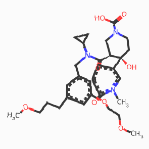 COCCCc1cc(CN(C(=O)[C@H]2CN(C(=O)O)CC[C@]2(O)c2ccc(=O)n(C)c2)C2CC2)cc(OCCOC)c1